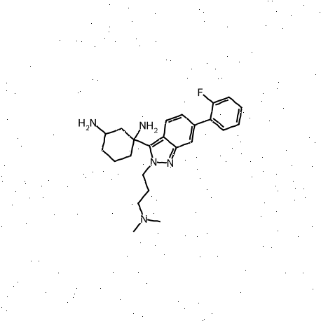 CN(C)CCCn1nc2cc(-c3ccccc3F)ccc2c1C1(N)CCCC(N)C1